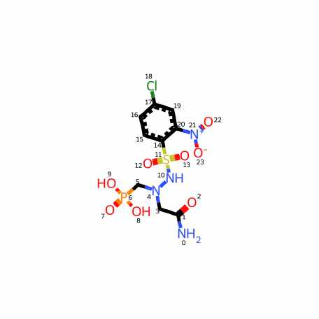 NC(=O)CN(CP(=O)(O)O)NS(=O)(=O)c1ccc(Cl)cc1[N+](=O)[O-]